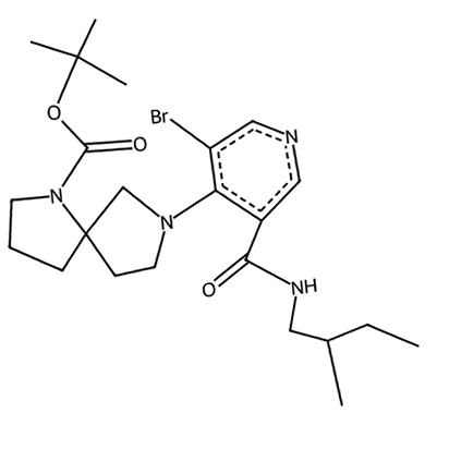 CCC(C)CNC(=O)c1cncc(Br)c1N1CCC2(CCCN2C(=O)OC(C)(C)C)C1